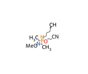 C#CCCCC[PH]1(OCCC#N)C(C)N(OC)C1C